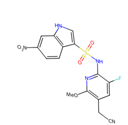 COc1nc(NS(=O)(=O)c2c[nH]c3cc([N+](=O)[O-])ccc23)c(F)cc1CC#N